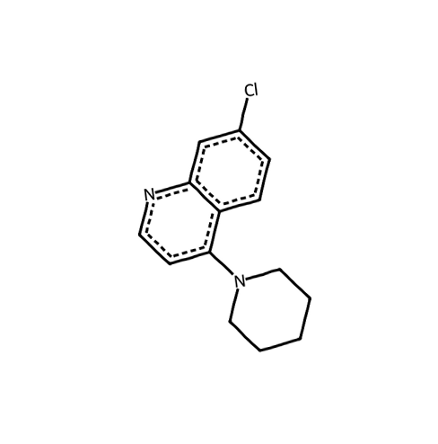 Clc1ccc2c(N3CCCCC3)ccnc2c1